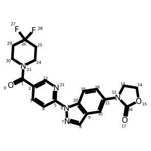 O=C(c1ccc(-n2ncc3cc(N4CCOC4=O)ccc32)nc1)N1CCC(F)(F)CC1